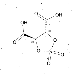 O=C(O)[C@@H]1OS(=O)(=O)O[C@H]1C(=O)O